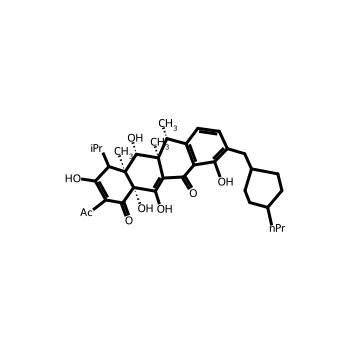 CCCC1CCC(Cc2ccc3c(c2O)C(=O)C2=C(O)[C@@]4(O)C(=O)C(C(C)=O)=C(O)C(C(C)C)[C@@]4(C)[C@H](O)[C@@]2(C)[C@@H]3C)CC1